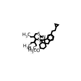 CCC(CC)=C1C(CC)CSC2=NC3(C(=O)N21)c1cc(CCC2CC2)ccc1CC31CCC(OC)CC1